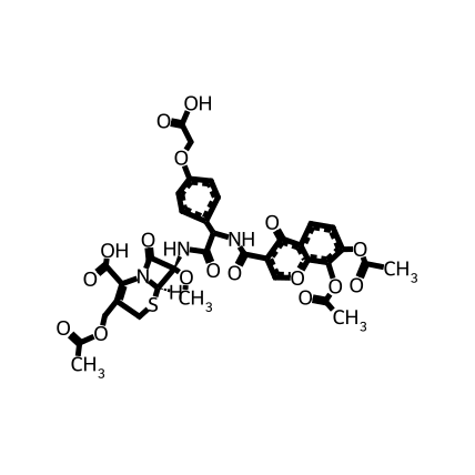 CO[C@@]1(NC(=O)C(NC(=O)c2coc3c(OC(C)=O)c(OC(C)=O)ccc3c2=O)c2ccc(OCC(=O)O)cc2)C(=O)N2C(C(=O)O)=C(COC(C)=O)CS[C@@H]21